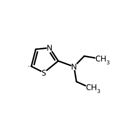 CCN(CC)c1nc[c]s1